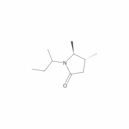 CCC(C)N1C(=O)C[C@@H](C)[C@@H]1C